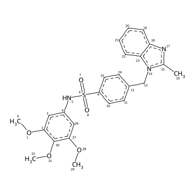 COc1cc(NS(=O)(=O)c2ccc(Cn3c(C)nc4ccccc43)cc2)cc(OC)c1OC